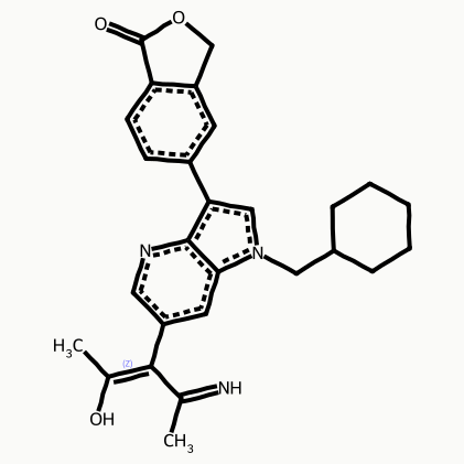 CC(=N)/C(=C(/C)O)c1cnc2c(-c3ccc4c(c3)COC4=O)cn(CC3CCCCC3)c2c1